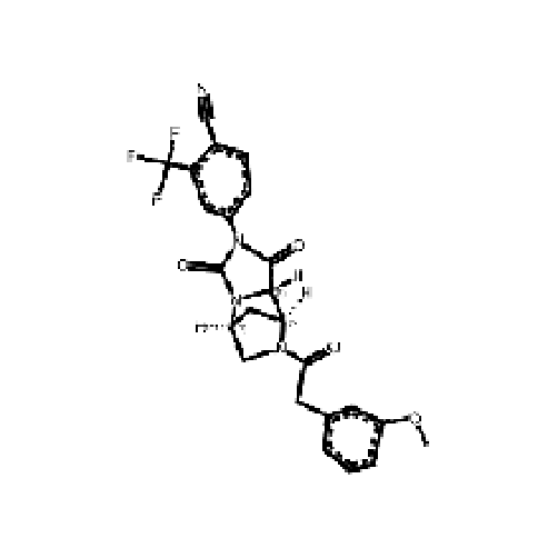 COc1cccc(CC(=O)N2C[C@@H]3C[C@H]2[C@H]2C(=O)N(c4ccc(C#N)c(C(F)(F)F)c4)C(=O)N32)c1